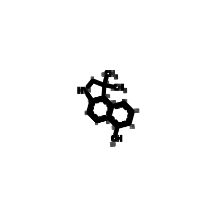 CC1(C)CNc2ccc3c(O)cccc3c21